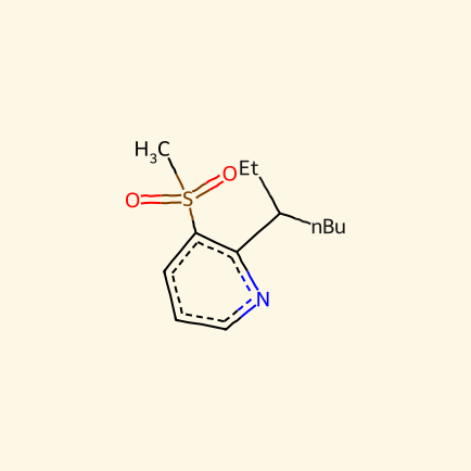 CCCCC(CC)c1ncccc1S(C)(=O)=O